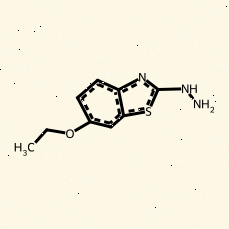 CCOc1ccc2nc(NN)sc2c1